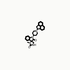 CN1C(=O)NCC12C(=O)N(C1CCN(C3Cc4cccc5cccc3c45)CC1)c1ccccc12